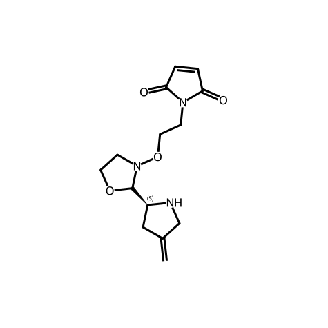 C=C1CN[C@H](C2OCCN2OCCN2C(=O)C=CC2=O)C1